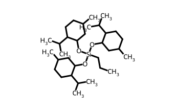 CCC[Si](OC1CC(C)CCC1C(C)C)(OC1CC(C)CCC1C(C)C)OC1CC(C)CCC1C(C)C